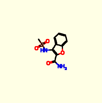 CS(=O)(=O)Nc1c(C(N)=O)oc2ccccc12